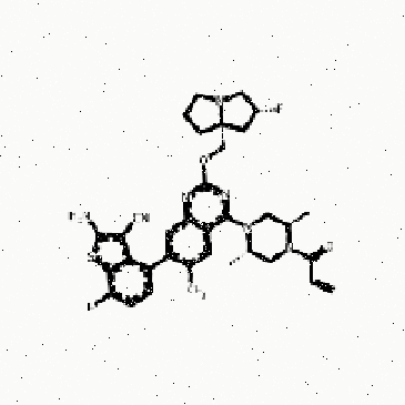 C=CC(=O)N1C[C@H](C)N(c2nc(OC[C@@]34CCCN3C[C@H](F)C4)nc3cc(-c4ccc(F)c5sc(N)c(C#N)c45)c(C(F)(F)F)cc23)C[C@H]1C